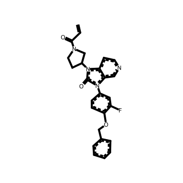 C=CC(=O)N1CCC(n2c(=O)n(-c3ccc(OCc4ccccc4)c(F)c3)c3cnccc32)C1